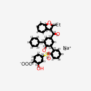 CCc1oc2ccccc2c1C(=O)c1cc(-c2ccccc2)c(OS(=O)(=O)c2ccc(C(=O)[O-])c(O)c2)c(-c2ccccc2)c1.[Na+]